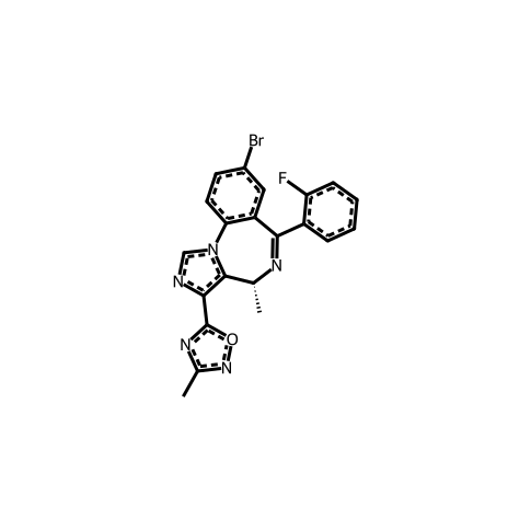 Cc1noc(-c2ncn3c2[C@@H](C)N=C(c2ccccc2F)c2cc(Br)ccc2-3)n1